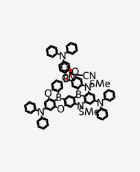 CSN1c2cc3c(cc2B2c4cc5c(cc4N(SC)c4cc(N(c6ccccc6)c6ccccc6)cc1c42)Oc1cc(N(c2ccccc2)c2ccccc2)cc2c1B5c1cc(C#N)ccc1O2)B1c2cc(C#N)ccc2Oc2cc(N(c4ccccc4)c4ccccc4)cc(c21)O3